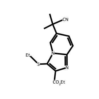 CCOC(=O)c1nc2ccc(C(C)(C)C#N)cn2c1SCC